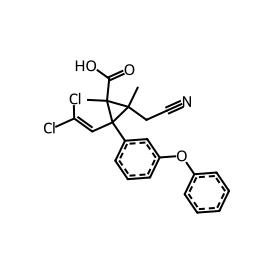 CC1(CC#N)C(C)(C(=O)O)C1(C=C(Cl)Cl)c1cccc(Oc2ccccc2)c1